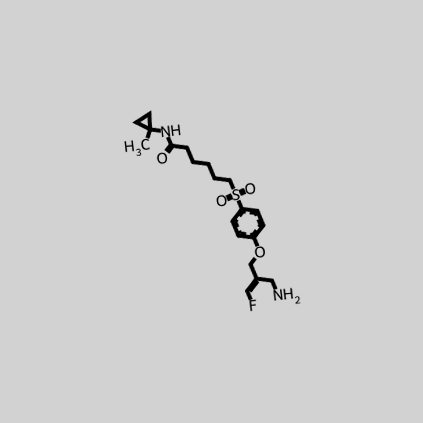 CC1(NC(=O)CCCCCS(=O)(=O)c2ccc(OC/C(=C/F)CN)cc2)CC1